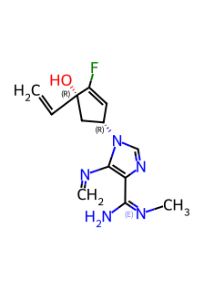 C=C[C@]1(O)C[C@@H](n2cnc(/C(N)=N\C)c2N=C)C=C1F